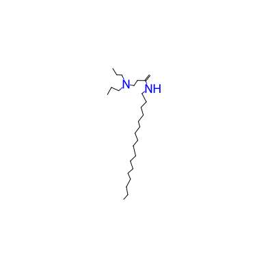 C=C(CCN(CCC)CCC)NCCCCCCCCCCCCCCCCC